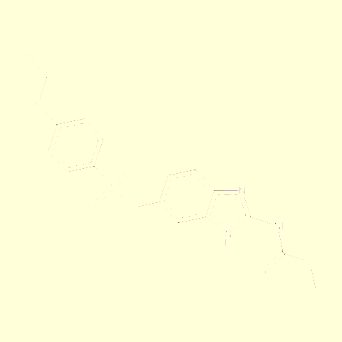 COC(=O)Nc1nc2ccc(OS(=O)(=O)c3ccc(OCF)cc3)cc2[nH]1